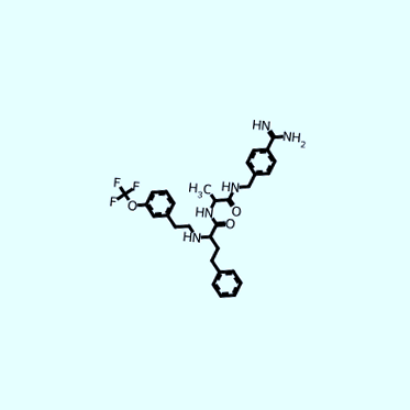 CC(NC(=O)C(CCc1ccccc1)NCCc1cccc(OC(F)(F)F)c1)C(=O)NCc1ccc(C(=N)N)cc1